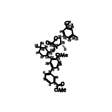 COC(=O)c1cccc(-c2cnc(OC)c(C3=C(CN4C(=O)O[C@H](c5cc(C)cc(C(F)(F)F)c5)[C@@H]4C)CC(C)(C)CC3)c2)c1